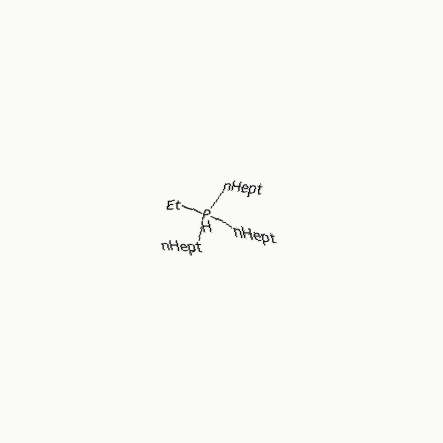 CCCCCCC[PH](CC)(CCCCCCC)CCCCCCC